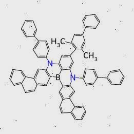 Cc1cc(-c2ccccc2)cc(C)c1-c1cc2c3c(c1)N(c1ccc(-c4ccccc4)cc1)c1cc4c(ccc5ccccc54)cc1B3c1cc3ccc4ccccc4c3cc1N2c1ccc(-c2ccccc2)cc1